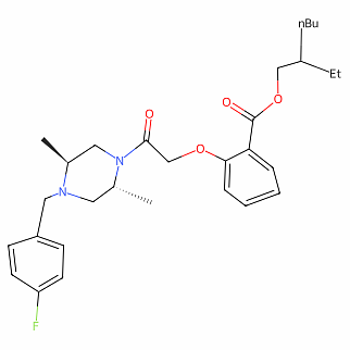 CCCCC(CC)COC(=O)c1ccccc1OCC(=O)N1C[C@H](C)N(Cc2ccc(F)cc2)C[C@H]1C